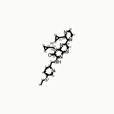 CCSc1ccc(CNc2nc3ncc(-c4nccnc4C4CC4)nc3n([C@@H](C)C3CC3)c2=O)nc1